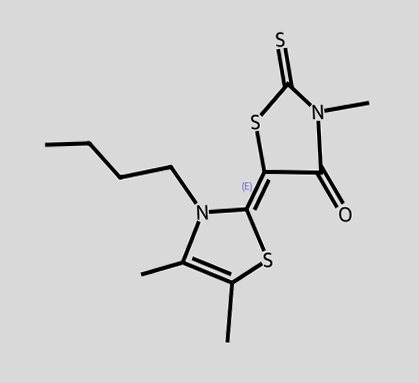 CCCCN1C(C)=C(C)S/C1=C1/SC(=S)N(C)C1=O